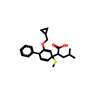 CSC1(C(CC(C)C)C(=O)O)C=CC(c2ccccc2)C(OCC2CC2)=C1